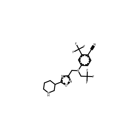 N#Cc1ccc(N(Cc2noc(C3CCCNC3)n2)CC(F)(F)F)cc1C(F)(F)F